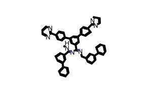 CN/C(=N\C(=N/Cc1cccc(-c2ccccc2)c1)c1cc(-c2ccc(-c3ncccn3)cc2)cc(-c2ccc(-c3ncccn3)cc2)c1)c1cccc(-c2ccccc2)c1